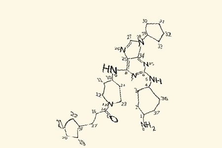 NC1CCC(Nc2nc(NC3CCN(C(=O)CCC4CCCC4)CC3)c3ncn(C4CCCC4)c3n2)CC1